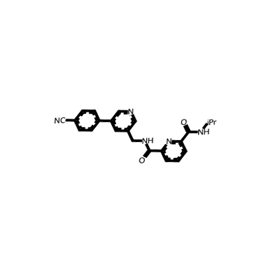 CC(C)NC(=O)c1cccc(C(=O)NCc2cncc(-c3ccc(C#N)cc3)c2)n1